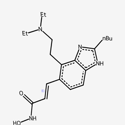 CCCCc1nc2c(CCN(CC)CC)c(/C=C/C(=O)NO)ccc2[nH]1